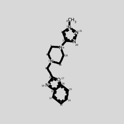 Cn1cc(N2CCN(Cc3nc4ccccc4o3)CC2)nn1